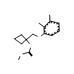 CC(C)(C)OC(=O)NC1(COc2cccc(N)c2C#N)CCC1